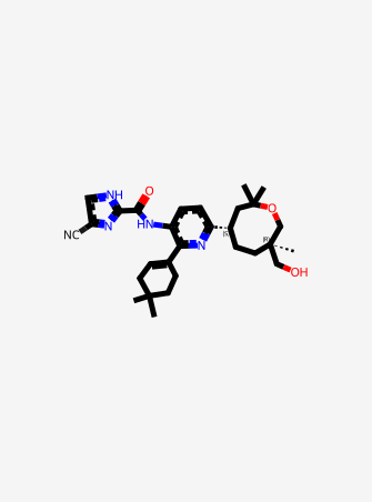 CC1(C)CC=C(c2nc([C@H]3CC[C@](C)(CO)COC(C)(C)C3)ccc2NC(=O)c2nc(C#N)c[nH]2)CC1